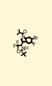 CC(C)C(=O)n1cc([C@H](N[S@@+]([O-])C(C)(C)C)C(F)(F)F)c2cc(F)c(Br)cc21